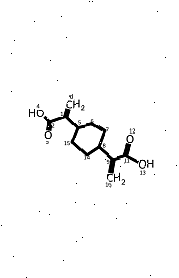 C=C(C(=O)O)C1CCC(C(=C)C(=O)O)CC1